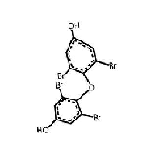 Oc1cc(Br)c(Oc2c(Br)cc(O)cc2Br)c(Br)c1